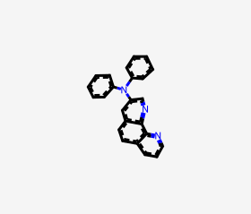 c1ccc(N(c2ccccc2)c2cnc3c(ccc4cccnc43)c2)cc1